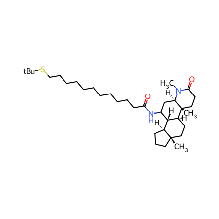 CN1C(=O)CC[C@]2(C)[C@H]3CC[C@]4(C)CCC[C@H]4[C@@H]3[C@@H](NC(=O)CCCCCCCCCCCSC(C)(C)C)C[C@@H]12